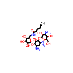 C#CCCCC(=O)NCC1O[C@H](O[C@@H]2C(N)C[C@@H](N)C(O[C@@H]3OC(CO)[C@H](O)C(N)C3O)C2O)[C@@H](O)C(O)[C@@H]1O